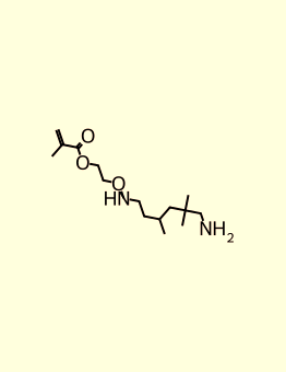 C=C(C)C(=O)OCCONCCC(C)CC(C)(C)CN